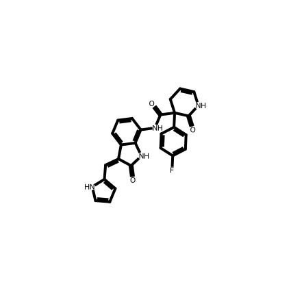 O=C1Nc2c(NC(=O)C3(c4ccc(F)cc4)CC=CNC3=O)cccc2C1=Cc1ccc[nH]1